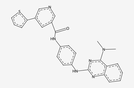 CN(C)c1nc(Nc2ccc(NC(=O)c3cncc(-c4cccs4)c3)cc2)nc2ccccc12